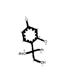 COC(CO)(c1ccc(Cl)cc1Cl)C(C)C